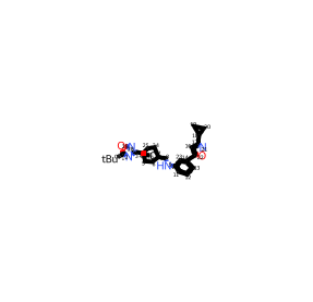 CC(C)(C)c1nc(C23CCC(CNc4cccc(-c5cc(C6CC6)no5)c4)(CC2)CC3)no1